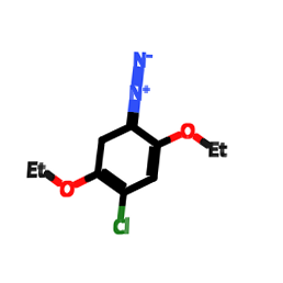 CCOC1=CC(Cl)=C(OCC)CC1=[N+]=[N-]